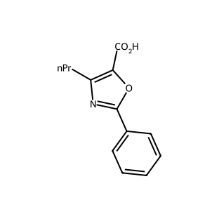 CCCc1nc(-c2ccccc2)oc1C(=O)O